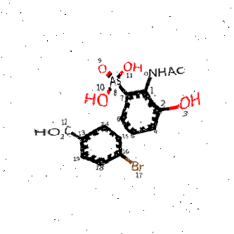 CC(=O)Nc1c(O)cccc1[As](=O)(O)O.O=C(O)c1ccc(Br)cc1